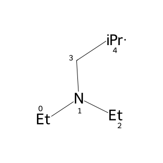 CCN(CC)C[C](C)C